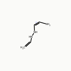 C=CNN/C=C\N